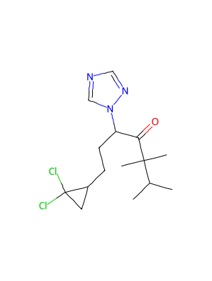 CC(C)C(C)(C)C(=O)C(CCC1CC1(Cl)Cl)n1cncn1